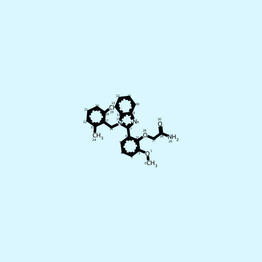 COc1cccc(-c2nc3ccccc3n2Cc2c(C)cccc2C)c1OCC(N)=O